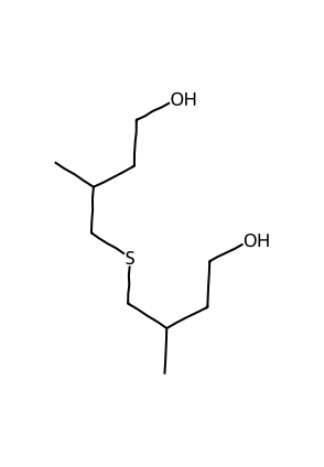 CC(CCO)CSCC(C)CCO